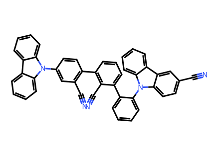 N#Cc1ccc2c(c1)c1ccccc1n2-c1ccccc1-c1cccc(-c2ccc(-n3c4ccccc4c4ccccc43)cc2C#N)c1C#N